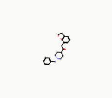 O=C(Cc1cccc2c1OCC2)C1CCN(Cc2ccccc2)CC1